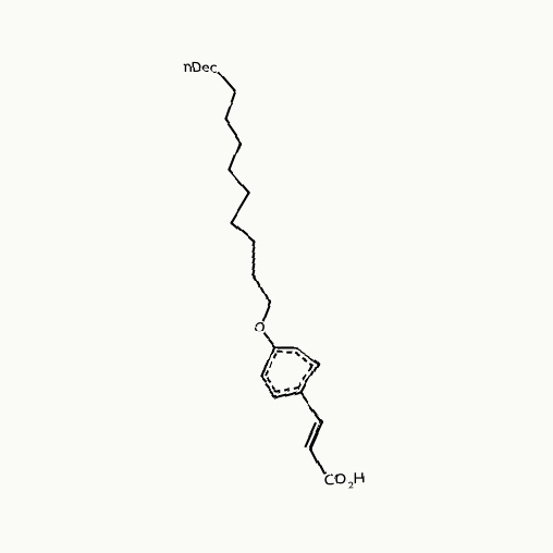 CCCCCCCCCCCCCCCCCCCOc1ccc(C=CC(=O)O)cc1